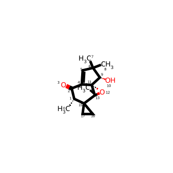 C[C@@H]1C(=O)C2=CC(C)(C)[C@H](O)[C@]23O[C@]3(C)C12CC2